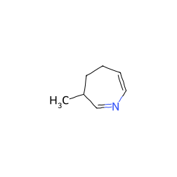 CC1C=NC=CCC1